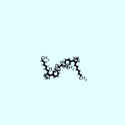 CCCCCCCc1nsnc1C1=CCC[N+](C)(OC(=O)C(=O)O[N+]2(C)CCC=C(c3nsnc3CCCCCCC)C2)C1